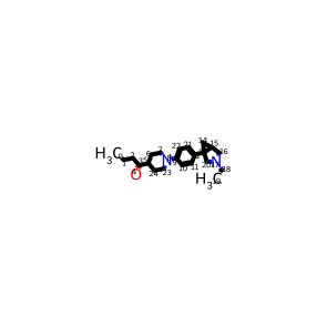 CCCC(=O)C1CCN(c2ccc(C34CC3CN(CC)C4)cc2)CC1